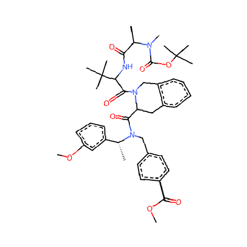 COC(=O)c1ccc(CN(C(=O)C2Cc3ccccc3CN2C(=O)C(NC(=O)C(C)N(C)C(=O)OC(C)(C)C)C(C)(C)C)[C@H](C)c2cccc(OC)c2)cc1